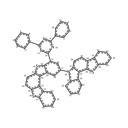 c1ccc(-c2nc(-c3ccccc3)nc(-c3cc(-n4c5ccccc5c5c6sc7ccccc7c6ccc54)cc4c3sc3ccc5sc6ccccc6c5c34)n2)cc1